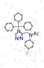 CC(=O)N(Cc1nncn1C(c1ccccc1)(c1ccccc1)c1ccccc1)c1ccc(F)cc1